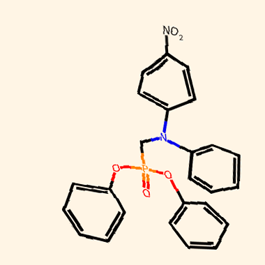 O=[N+]([O-])c1ccc(N(CP(=O)(Oc2ccccc2)Oc2ccccc2)c2ccccc2)cc1